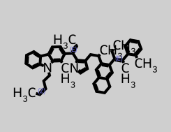 C/C=C\CCn1c2ccccc2c2ccc(/C(=C\C)C3=C(CC(C)c4cc5c(cc4/C(CC)=C(\C)c4ccccc4C)CCC=C5)C=C=N3)c(C)c21